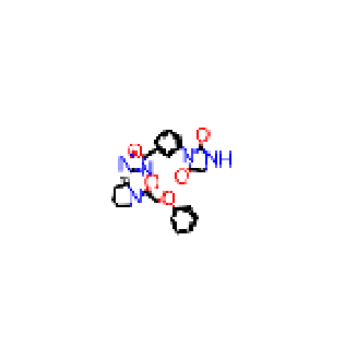 O=C1CNC(=O)N1c1cccc(-c2nc([C@H]3CCCCN3C(=O)COc3ccccc3)no2)c1